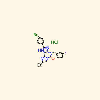 CCC1CN2C(=O)N(Cc3cccc(I)c3)c3nc(-c4ccc(Br)cc4)[nH]c3C2=N1.Cl